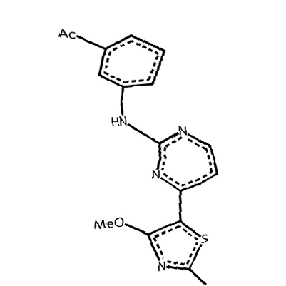 COc1nc(C)sc1-c1ccnc(Nc2cccc(C(C)=O)c2)n1